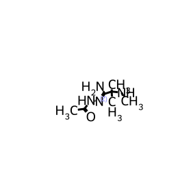 CNC(C)(C)/C(N)=N/NC(C)=O